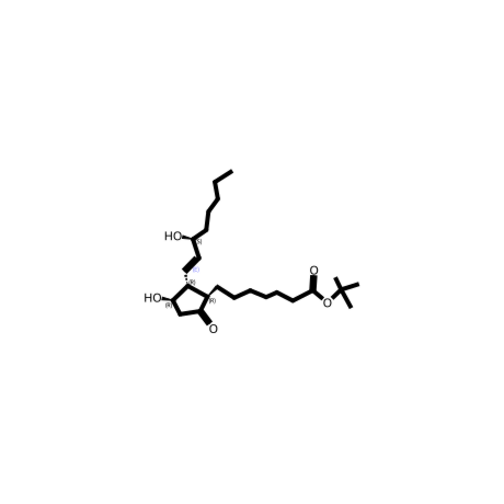 CCCCC[C@H](O)/C=C/[C@H]1[C@H](O)CC(=O)[C@@H]1CCCCCCC(=O)OC(C)(C)C